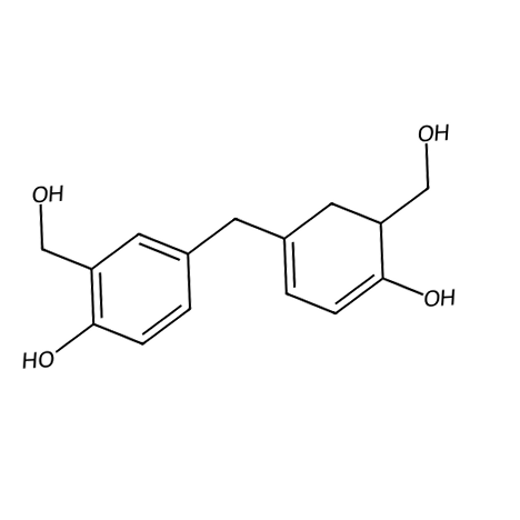 OCc1cc(CC2=CC=C(O)C(CO)C2)ccc1O